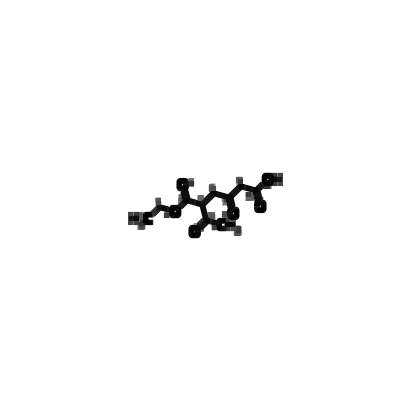 CCOC(=O)C(CC(=O)CC(=O)O)C(C)=O